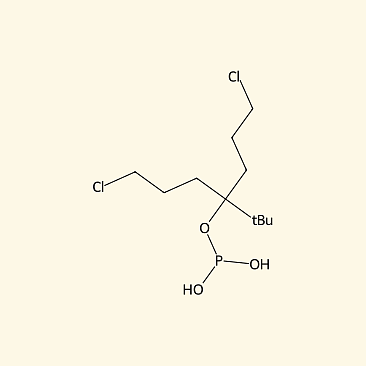 CC(C)(C)C(CCCCl)(CCCCl)OP(O)O